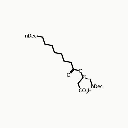 CCCCCCCCCCCCCCCCCC(=O)O[C@H](CCCCCCCCCCC)CC(=O)O